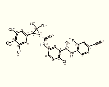 N#Cc1ccc(NC(=O)c2cc(NC(=O)[C@@H]3[C@@H](c4cc(Cl)c(Cl)c(Cl)c4)C3(Cl)Cl)ccc2Cl)c(F)c1